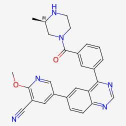 COc1ncc(-c2ccc3ncnc(-c4cccc(C(=O)N5CCN[C@H](C)C5)c4)c3c2)cc1C#N